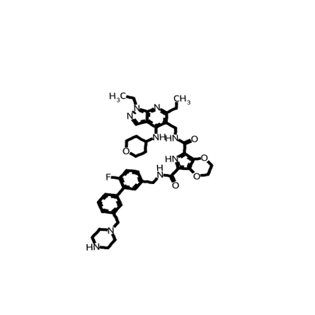 CCc1nc2c(cnn2CC)c(NC2CCOCC2)c1CNC(=O)c1[nH]c(C(=O)NCc2ccc(F)c(-c3cccc(CN4CCNCC4)c3)c2)c2c1OCCO2